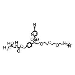 C[C@H](O)CNC(=O)OCc1ccc(N(CCOCCOCCOCCN=[N+]=[N-])S(=O)(=O)c2ccc(C#N)cn2)cc1